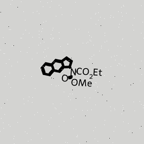 CCOC(=O)N(C(=O)OC)C1C=Cc2cc3ccccc3cc21